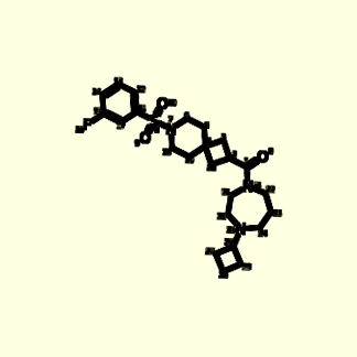 O=C(C1CC2(CCN(S(=O)(=O)c3cccc(F)c3)CC2)C1)N1CCCN(C2CCC2)CC1